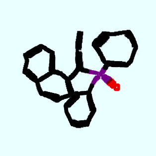 C=C=C(c1cccc2ccccc12)P(=O)(c1ccccc1)c1ccccc1